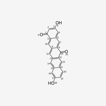 O=C1C=C(O)C=c2cc3c(cc21)=Cc1cc2cc(O)ccc2cc1C3=O